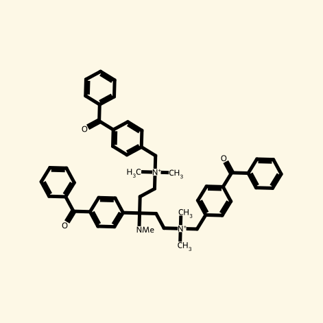 CNC(CC[N+](C)(C)Cc1ccc(C(=O)c2ccccc2)cc1)(CC[N+](C)(C)Cc1ccc(C(=O)c2ccccc2)cc1)c1ccc(C(=O)c2ccccc2)cc1